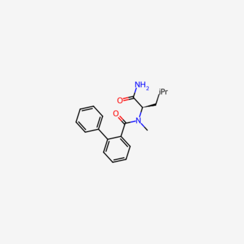 CC(C)C[C@H](C(N)=O)N(C)C(=O)c1ccccc1-c1ccccc1